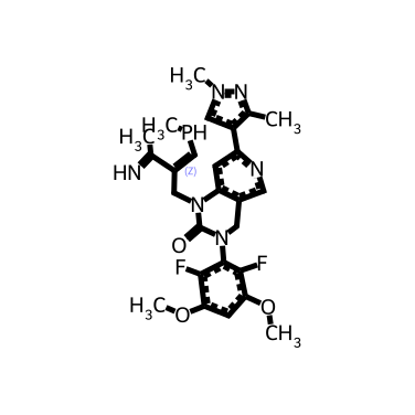 COc1cc(OC)c(F)c(N2Cc3cnc(-c4cn(C)nc4C)cc3N(C/C(=C/PC)C(C)=N)C2=O)c1F